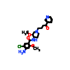 COc1cc(N)c(Cl)cc1C(=O)N[C@@H]1CCN(CCCC(=O)c2cccnc2)C[C@@H]1OC